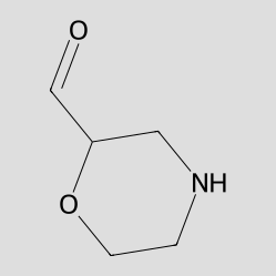 O=CC1CNCCO1